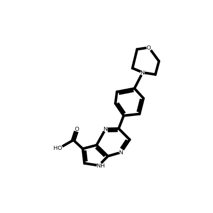 O=C(O)c1c[nH]c2ncc(-c3ccc(N4CCOCC4)cc3)nc12